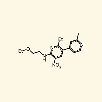 CCOCCNc1nc(CC)c(-c2ccnc(C)c2)cc1[N+](=O)[O-]